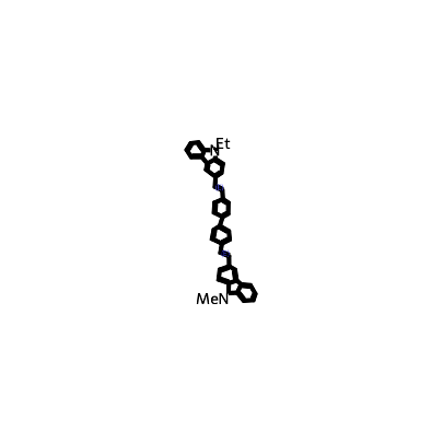 CCn1c2ccccc2c2cc(/C=C/c3ccc(-c4ccc(/C=C/c5ccc6c(c5)-c5ccccc5C6NC)cc4)cc3)ccc21